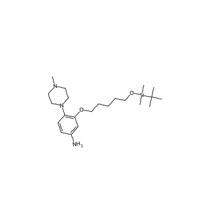 CN1CCN(c2ccc(N)cc2OCCCCCO[Si](C)(C)C(C)(C)C)CC1